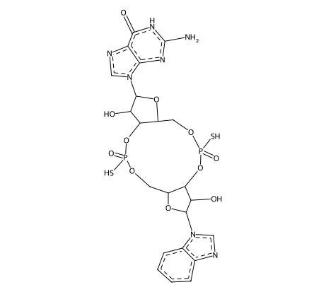 Nc1nc2c(ncn2C2OC3COP(=O)(S)OC4C(COP(=O)(S)OC3C2O)OC(n2cnc3ccccc32)C4O)c(=O)[nH]1